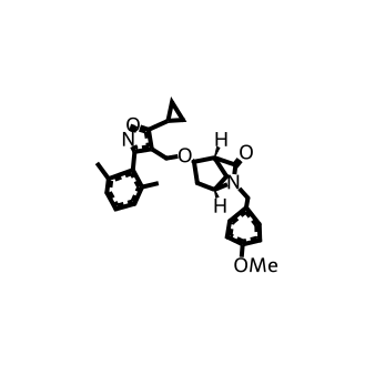 COc1ccc(CN2C(=O)[C@@H]3C[C@H]2C[C@H]3OCc2c(-c3c(C)cccc3C)noc2C2CC2)cc1